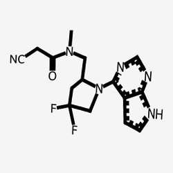 CN(CC1CC(F)(F)CN1c1ncnc2[nH]ccc12)C(=O)CC#N